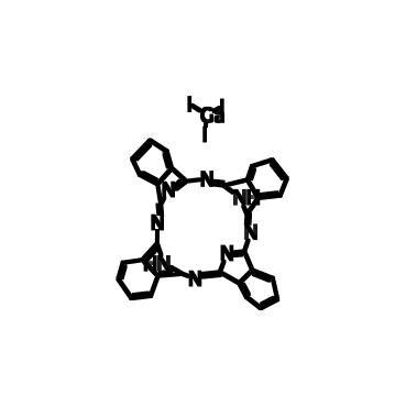 [I][Ga]([I])[I].c1ccc2c(c1)-c1nc-2nc2[nH]c(nc3nc(nc4[nH]c(n1)c1ccccc41)-c1ccccc1-3)c1ccccc21